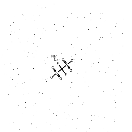 O=S(=O)([O-])C(F)(F)S(=O)(=O)[O-].[Na+].[Na+]